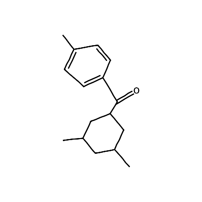 Cc1ccc(C(=O)C2CC(C)CC(C)C2)cc1